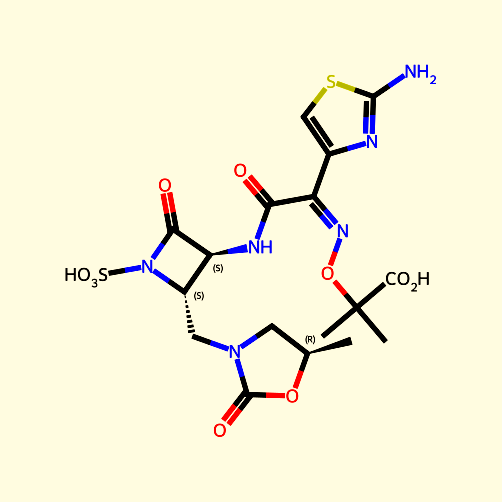 C[C@@H]1CN(C[C@H]2[C@H](NC(=O)C(=NOC(C)(C)C(=O)O)c3csc(N)n3)C(=O)N2S(=O)(=O)O)C(=O)O1